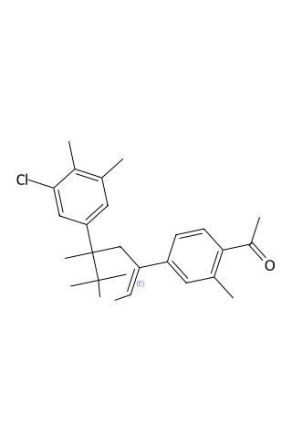 C/C=C(\CC(C)(c1cc(C)c(C)c(Cl)c1)C(C)(C)C)c1ccc(C(C)=O)c(C)c1